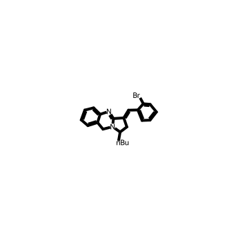 CCCCC1C/C(=C\c2ccccc2Br)C2=Nc3ccccc3CN21